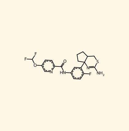 NC1=NC2(c3cc(NC(=O)c4ccc(OC(F)F)cn4)ccc3F)CCCC2CS1